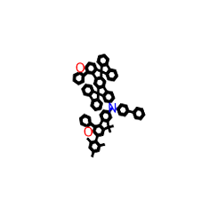 Cc1cc(C)c(-c2cc3c(c4c2oc2ccccc24)-c2ccc(N(c4ccc(-c5ccccc5)cc4)c4ccc5c(c4)C4(c6ccccc6-c6ccccc64)c4cc6c(cc4-5)C4(c5ccccc5-c5ccccc54)c4ccc5oc7ccccc7c5c4-6)cc2C3(C)C)c(C)c1